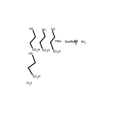 O=S(=O)(O)CCS.O=S(=O)(O)CCS.O=S(=O)(O)CCS.O=S(=O)(O)CCS.S.S.[NaH].[NaH].[NaH].[NaH]